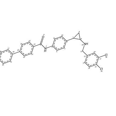 O=C(Nc1ccc(C2CC2NCc2ccc(Cl)c(Cl)c2)cc1)c1ccc(-c2ccccc2)cc1